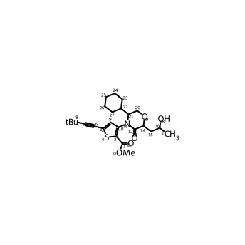 COC(=O)c1sc(C#CC(C)(C)C)cc1N1C(=O)C(CC(C)O)OCC1C1CCCCC1